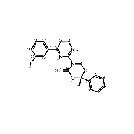 CC1(c2ccccc2)CCN(c2nccc(-c3cccc(F)c3)n2)C(=O)O1